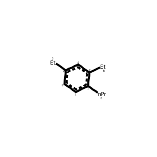 CCCc1[c]cc(CC)cc1CC